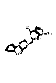 Cn1ncc2c1NC(CN1CCN(c3ccccc3Cl)C(=O)C1)=NC2O